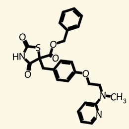 CN(CCOc1ccc(CC2(C(=O)OCc3ccccc3)SC(=O)NC2=O)cc1)c1ccccn1